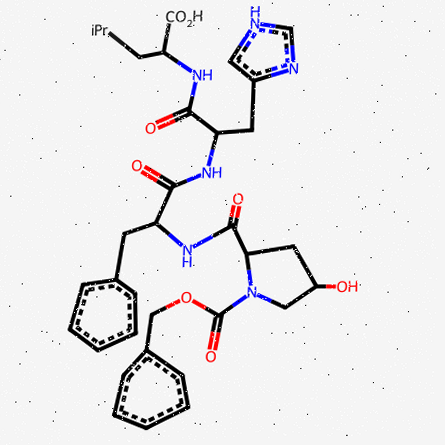 CC(C)CC(NC(=O)C(Cc1c[nH]cn1)NC(=O)C(Cc1ccccc1)NC(=O)C1CC(O)CN1C(=O)OCc1ccccc1)C(=O)O